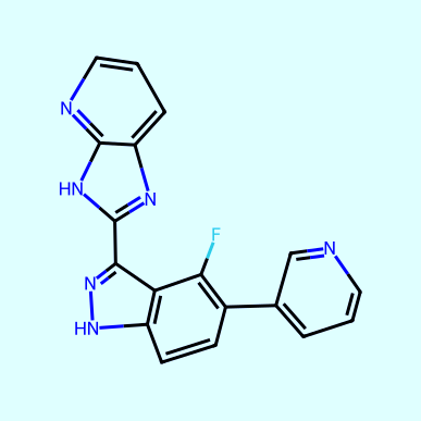 Fc1c(-c2cccnc2)ccc2[nH]nc(-c3nc4cccnc4[nH]3)c12